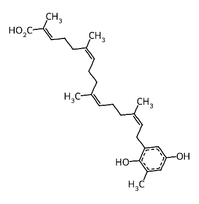 CC(=CCCC(C)=CCc1cc(O)cc(C)c1O)CCC=C(C)CCC=C(C)C(=O)O